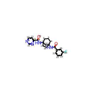 O=C(NC12CCCC(NC(=O)c3ccncn3)(CC1)C2)c1cccc(F)c1